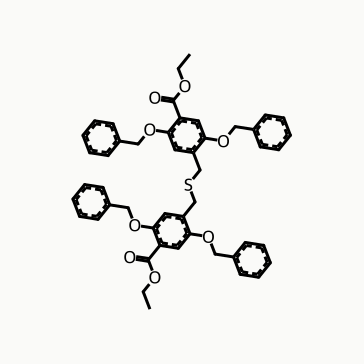 CCOC(=O)c1cc(OCc2ccccc2)c(CSCc2cc(OCc3ccccc3)c(C(=O)OCC)cc2OCc2ccccc2)cc1OCc1ccccc1